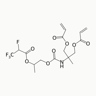 C=CC(=O)OCC(C)(COC(=O)C=C)NC(=O)OCC(C)OC(=O)C(F)C(F)(F)F